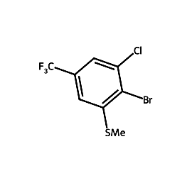 CSc1cc(C(F)(F)F)cc(Cl)c1Br